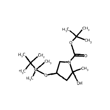 CC(C)(C)OC(=O)N1CC(O[Si](C)(C)C(C)(C)C)CC1(C)O